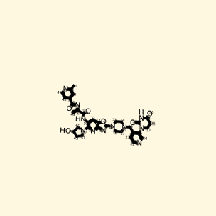 Cc1cc(-c2nc(C(=O)Nc3cc4oc(N5CCN(Cc6ccncc6N6CCC(=O)NC6=O)CC5)nc4nc3N3CC[C@@H](O)C3)co2)ccn1